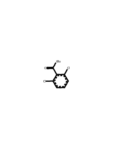 CC(C)(C)C(=O)c1c(Cl)cccc1Cl